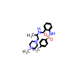 Cc1ccc(S(=O)(=O)Nc2ccccc2CNC(C)CN2CCN(C)CC2)cc1